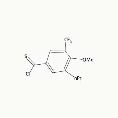 CCCc1cc(C(=S)Cl)cc(C(F)(F)F)c1OC